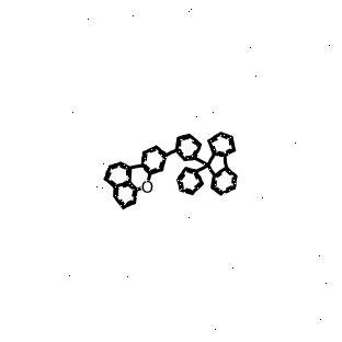 c1ccc(C2(c3cccc(-c4ccc5c(c4)Oc4cccc6cccc-5c46)c3)c3ccccc3-c3ccccc32)cc1